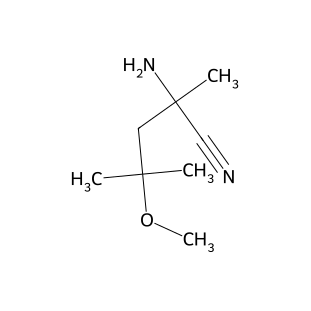 COC(C)(C)CC(C)(N)C#N